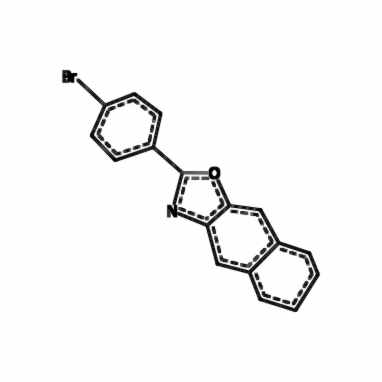 Brc1ccc(-c2nc3cc4ccccc4cc3o2)cc1